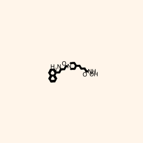 N[C@H](CC(=O)N1CCC(CCCC(=O)NO)CC1)Cc1cccc2ccccc12